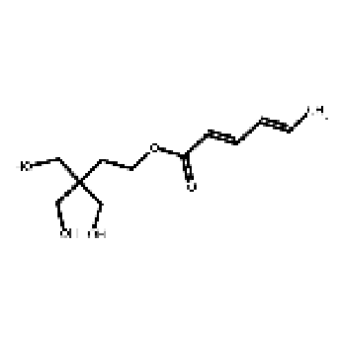 C/C=C/C=C/C(=O)OCCC(CO)(CO)CO